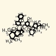 Cc1cc(N(c2csc3cc4c(cc23)C(C)(C)CCC4(C)C)c2cccc3c2oc2ccccc23)cc(N2c3ccc(C(C)(C)C)cc3C3(C)CCCCC23C)c1